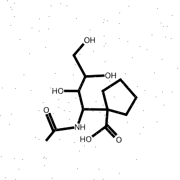 CC(=O)NC(C(O)C(O)CO)C1(C(=O)O)CCCC1